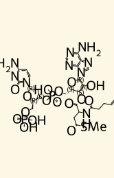 C=CCCC(=O)NC(CC(=O)SC)C(=O)O[C@H]1[C@@H](O)[C@H](n2cnc3c(N)ncnc32)O[C@H]1COP(=O)(O)O[C@H]1C[C@H](n2ccc(N)nc2=O)O[C@@H]1COP(=O)(O)O